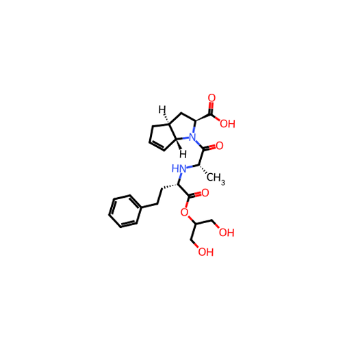 C[C@H](N[C@@H](CCc1ccccc1)C(=O)OC(CO)CO)C(=O)N1[C@@H]2C=CC[C@H]2C[C@H]1C(=O)O